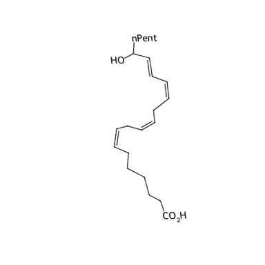 CCCCCC(O)/C=C/C=C\C/C=C\C/C=C\CCCCCC(=O)O